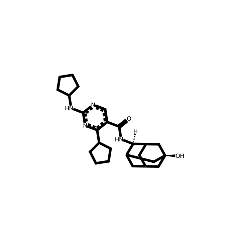 O=C(N[C@H]1C2CC3CC1C[C@@](O)(C3)C2)c1cnc(NC2CCCC2)nc1C1CCCC1